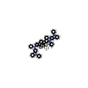 CC1(C)c2cc(N(c3ccccc3)c3ccc4c(c3)c3ccccc3n4-c3ccccc3)ccc2-c2ccc3c(c21)C(C)(C)c1cc(N(c2ccccc2)c2ccc4c(c2)c2ccccc2n4-c2ccccc2)c2ccccc2c1-3